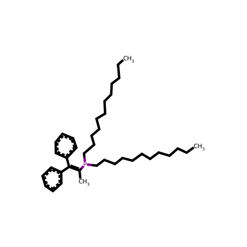 CCCCCCCCCCCCP(CCCCCCCCCCCC)C(C)=C(c1ccccc1)c1ccccc1